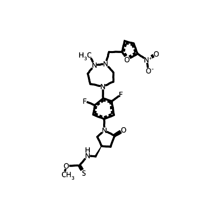 COC(=S)NC[C@@H]1CC(=O)N(c2cc(F)c(N3CCN(C)N(Cc4ccc([N+](=O)[O-])o4)CC3)c(F)c2)C1